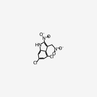 O=[N+]([O-])Cc1c([N+](=O)[O-])[nH]c2cc(Cl)cc(Cl)c12